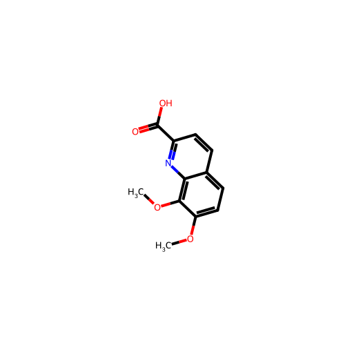 COc1ccc2ccc(C(=O)O)nc2c1OC